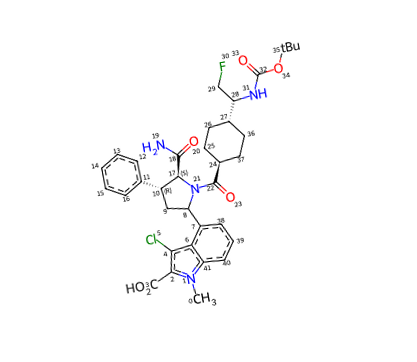 Cn1c(C(=O)O)c(Cl)c2c(C3C[C@H](c4ccccc4)[C@@H](C(N)=O)N3C(=O)[C@H]3CC[C@H](C(CF)NC(=O)OC(C)(C)C)CC3)cccc21